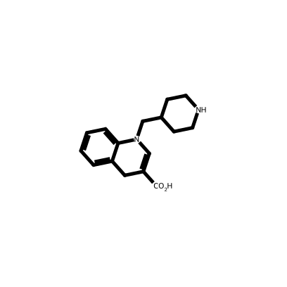 O=C(O)C1=CN(CC2CCNCC2)c2ccccc2C1